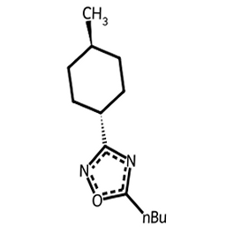 CCCCc1nc([C@H]2CC[C@H](C)CC2)no1